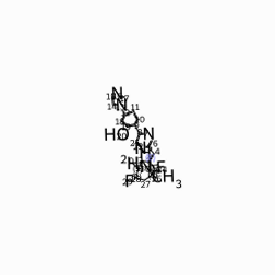 [2H][C@]12C/C(=C\c3cnc(-c4ccc(-n5ccnc5)cc4O)cn3)[C@H](F)[C@](C)(C[C@H]1F)N2